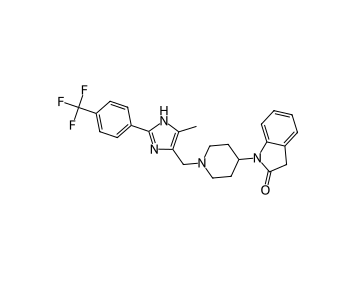 Cc1[nH]c(-c2ccc(C(F)(F)F)cc2)nc1CN1CCC(N2C(=O)Cc3ccccc32)CC1